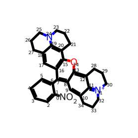 O=[N+]([O-])c1ccccc1C1=c2cc3c4c(c2Oc2c1cc1c5c2CCCN5CCC1)CCC[N+]=4CCC3